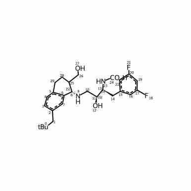 CC(C)(C)Cc1ccc2c(c1)[C@@H](NC[C@H](O)[C@H](Cc1cc(F)cc(F)c1)NC(=O)O)C(CO)CC2